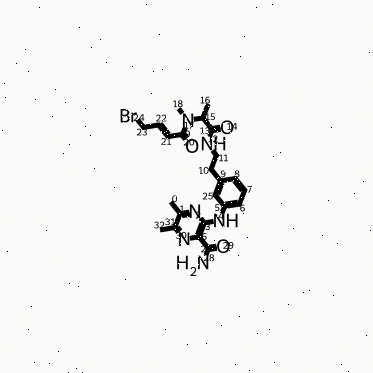 Cc1nc(Nc2cccc(CCNC(=O)C(C)N(C)C(=O)/C=C/CBr)c2)c(C(N)=O)nc1C